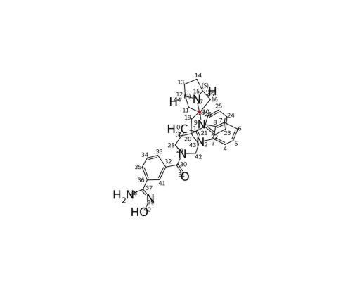 Cc1nc2ccccc2n1C1C[C@H]2CC[C@@H](C1)N2CCC1(c2ccccc2)CCN(C(=O)c2cccc(C(N)=NO)c2)CC1